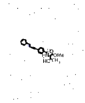 COC(=O)[C@@H](NC(=O)c1ccc(C#C/C=C/c2ccccc2)cc1)[C@@H](C)O